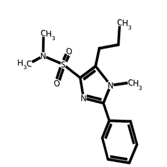 CCCc1c(S(=O)(=O)N(C)C)nc(-c2ccccc2)n1C